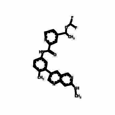 CNc1cc2ncc(-c3cc(NC(=O)c4cc(C(C)OC(F)F)ccn4)ccc3C)cc2cn1